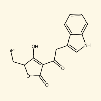 CC(C)CC1OC(=O)C(C(=O)Cc2c[nH]c3ccccc23)=C1O